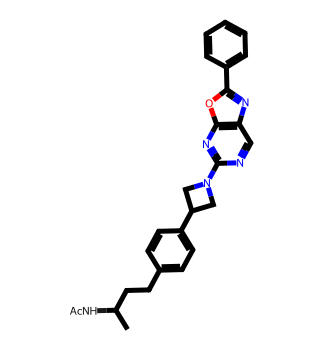 CC(=O)NC(C)CCc1ccc(C2CN(c3ncc4nc(-c5ccccc5)oc4n3)C2)cc1